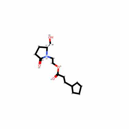 O=C(CCC1CCCC1)OCCN1C(=O)CC[C@@H]1CO